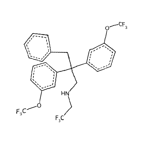 FC(F)(F)CNCC(Cc1ccccc1)(c1cccc(OC(F)(F)F)c1)c1cccc(OC(F)(F)F)c1